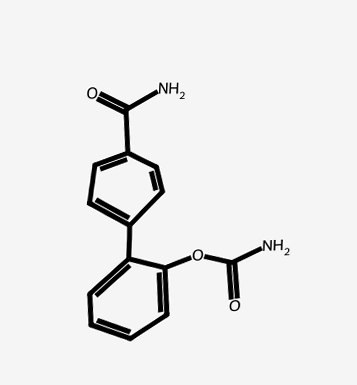 NC(=O)Oc1ccccc1-c1ccc(C(N)=O)cc1